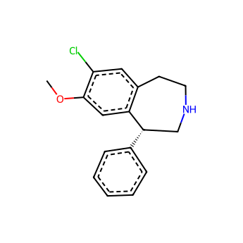 COc1cc2c(cc1Cl)CCNC[C@@H]2c1ccccc1